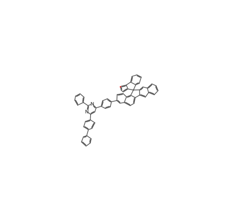 c1ccc(-c2ccc(-c3cc(-c4ccc(-c5ccc6c7c(ccc6c5)-c5cc6ccccc6cc5C75c6ccccc6-c6ccccc65)cc4)nc(-c4ccccc4)n3)cc2)cc1